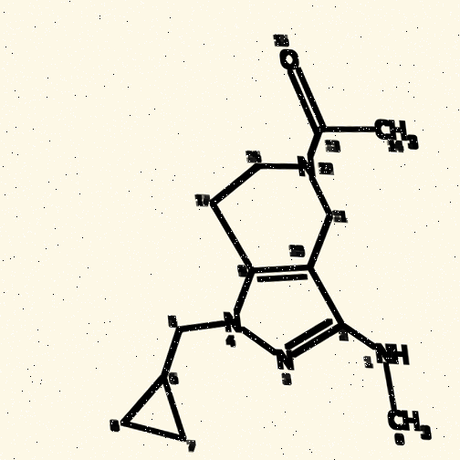 CNc1nn(CC2CC2)c2c1CN(C(C)=O)CC2